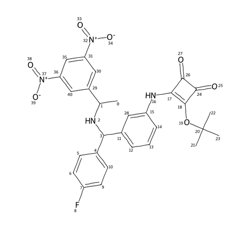 CC(NC(c1ccc(F)cc1)c1cccc(Nc2c(OC(C)(C)C)c(=O)c2=O)c1)c1cc([N+](=O)[O-])cc([N+](=O)[O-])c1